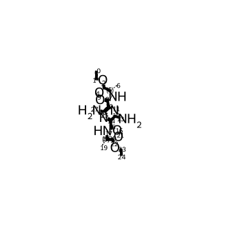 CCOC(=O)[C@H](C)NC(=O)c1nc(N)c(C(=O)N[C@@H](C)C(=O)OCC)nc1N